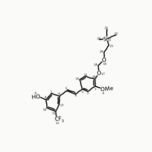 COc1cc(/C=C/c2cc(O)cc(C(F)(F)F)c2)ccc1OCOCC[Si](C)(C)C